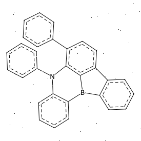 c1ccc(-c2ccc3c4c2N(c2ccccc2)c2ccccc2B4c2ccccc2-3)cc1